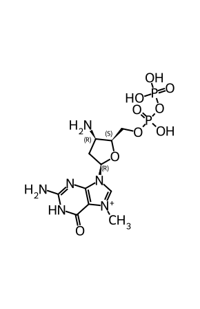 C[n+]1cn([C@H]2C[C@@H](N)[C@@H](COP(=O)(O)OP(=O)(O)O)O2)c2nc(N)[nH]c(=O)c21